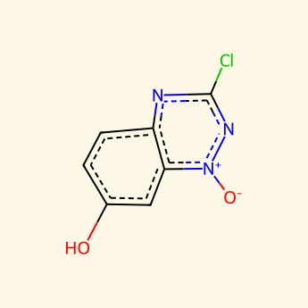 [O-][n+]1nc(Cl)nc2ccc(O)cc21